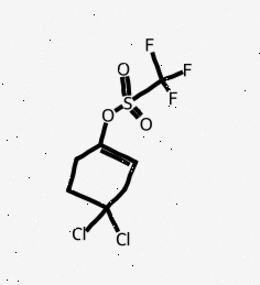 O=S(=O)(OC1=CCC(Cl)(Cl)CC1)C(F)(F)F